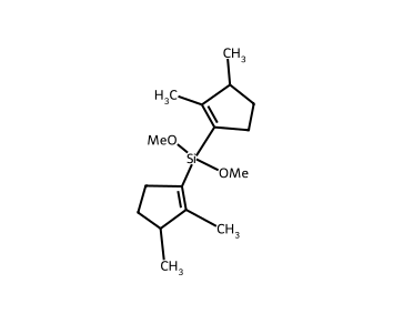 CO[Si](OC)(C1=C(C)C(C)CC1)C1=C(C)C(C)CC1